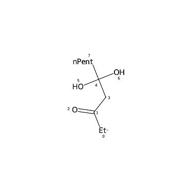 C[CH]C(=O)CC(O)(O)CCCCC